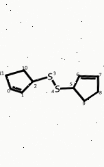 C1=CC(SSC2C=CCC2)CC1